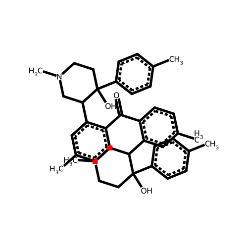 Cc1ccc(C2(O)CCN(C)CC2c2cc(C)ccc2C(=O)c2ccc(C)cc2C2CN(C)CCC2(O)c2ccc(C)cc2)cc1